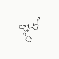 N#Cc1cccc(-c2nc(Oc3ccccc3)c3cccn3n2)n1